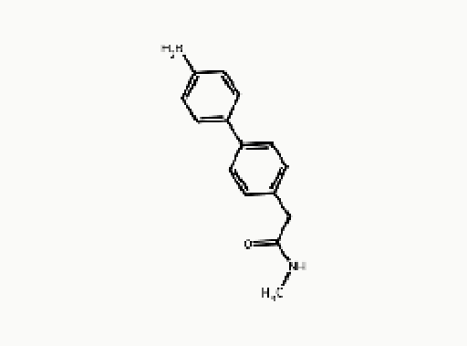 Bc1ccc(-c2ccc(CC(=O)NC)cc2)cc1